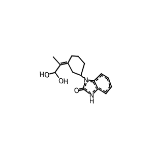 CC(=C1CCCC(n2c(=O)[nH]c3ccccc32)C1)C(O)O